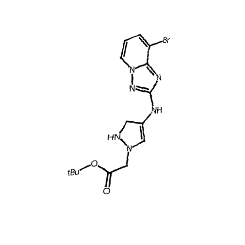 CC(C)(C)OC(=O)CN1C=C(Nc2nc3c(Br)cccn3n2)CN1